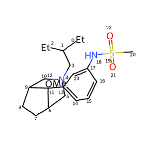 CCC(CC)CN1CC2CCC(C1)C2(OC)c1cccc(NS(C)(=O)=O)c1